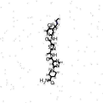 C/C=C/C(F)(F)c1cc(NC(=O)c2cnc(C(C)NC(=O)c3cc(N4CCC(C(N)=O)CC4)ncn3)s2)ncc1Cl